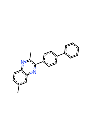 Cc1ccc2nc(C)c(-c3ccc(-c4ccccc4)cc3)nc2c1